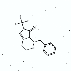 O=C1C2C(=NN1C(F)(F)F)CCN[C@@H]2Cc1ccccn1